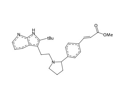 COC(=O)C=Cc1ccc(C2CCCN2CCc2c(C(C)(C)C)[nH]c3ncccc23)cc1